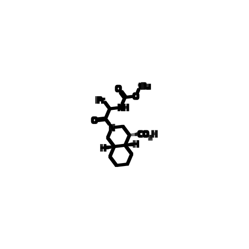 CC(C)C(NC(=O)OC(C)(C)C)C(=O)N1C[C@H]2CCCC[C@H]2[C@@H](C(=O)O)C1